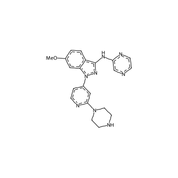 COc1ccc2c(Nc3cnccn3)nn(-c3ccnc(N4CCNCC4)c3)c2c1